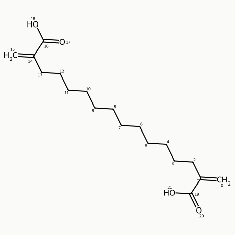 C=C(CCCCCCCCCCCCC(=C)C(=O)O)C(=O)O